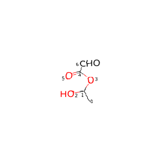 CC(O)OC(=O)C=O